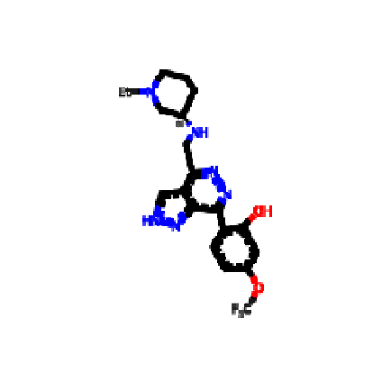 CCN1CCC[C@H](NCc2nnc(-c3ccc(OC(F)(F)F)cc3O)c3n[nH]cc23)C1